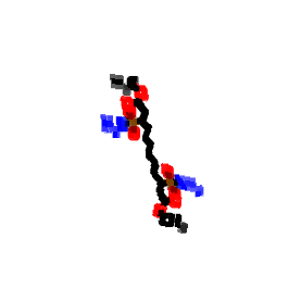 COC(=O)CC(CCCCCCC(CC(=O)OC)S(N)(=O)=O)S(N)(=O)=O